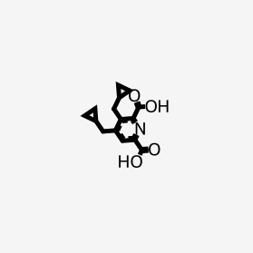 O=C(O)c1cc(CC2CC2)c(CC2CC2)c(C(=O)O)n1